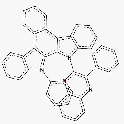 c1ccc(-c2nc3ccccc3nc2-n2c3ccccc3c3c4ccccc4c4c5ccccc5n(-c5ccccc5)c4c32)cc1